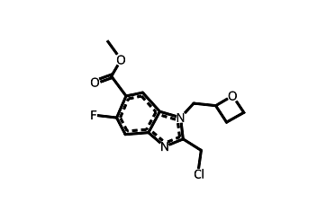 COC(=O)c1cc2c(cc1F)nc(CCl)n2CC1CCO1